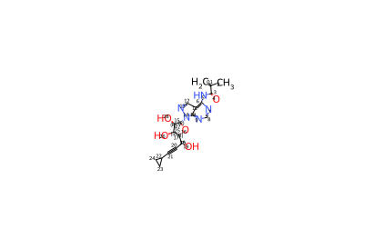 C=C(C)C(=O)Nc1ncnc2c1cnn2[C@@H]1O[C@H]([C@H](O)C#CC2CC2)[C@@H](O)[C@H]1O